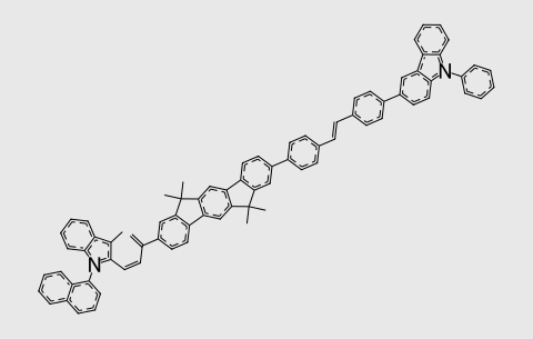 C=C(/C=C\c1c(C)c2ccccc2n1-c1cccc2ccccc12)c1ccc2c(c1)C(C)(C)c1cc3c(cc1-2)C(C)(C)c1cc(-c2ccc(/C=C/c4ccc(-c5ccc6c(c5)c5ccccc5n6-c5ccccc5)cc4)cc2)ccc1-3